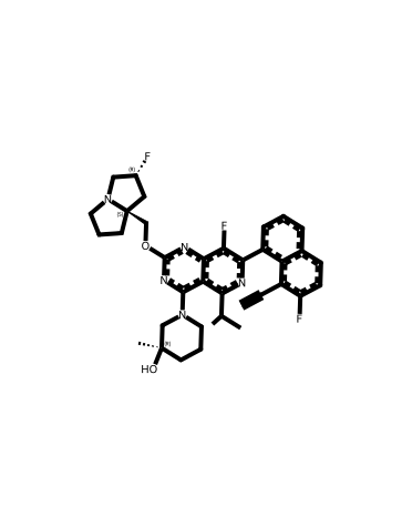 C#Cc1c(F)ccc2cccc(-c3nc(C(C)C)c4c(N5CCC[C@@](C)(O)C5)nc(OC[C@@]56CCCN5C[C@H](F)C6)nc4c3F)c12